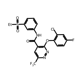 CCS(=O)(=O)c1cccc(NC(=O)c2cc(C(F)(F)F)nnc2Oc2ccc(F)cc2Cl)c1